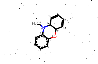 CN1c2ccccc2OC2C=CC=CC21